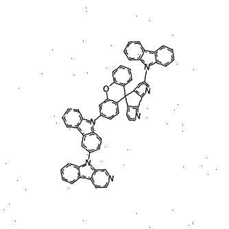 c1ccc2c(c1)Oc1cc(-n3c4ccccc4c4cc(-n5c6ccccc6c6ccncc65)ccc43)ccc1C21c2cccnc2-c2ncc(-n3c4ccccc4c4ccccc43)cc21